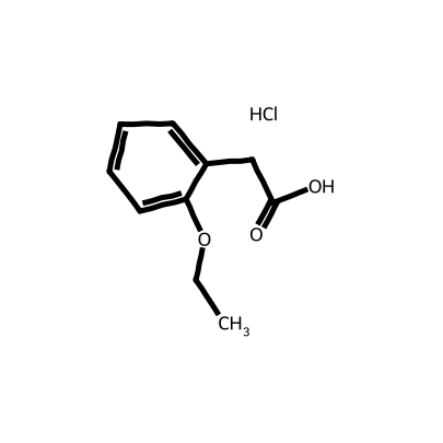 CCOc1ccccc1CC(=O)O.Cl